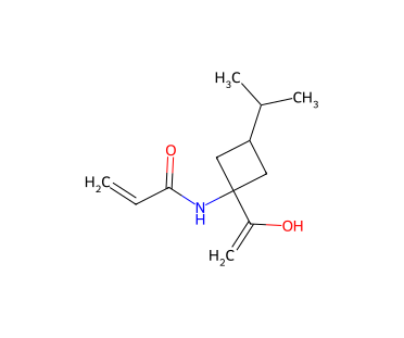 C=CC(=O)NC1(C(=C)O)CC(C(C)C)C1